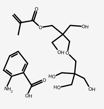 C=C(C)C(=O)OCC(CO)(CO)COCC(CO)(CO)CO.Nc1ccccc1C(=O)O